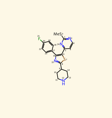 CSc1nccc(-c2sc(C3CCNCC3)nc2-c2ccc(F)cc2)n1